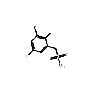 [CH2]S(=O)(=O)Cc1cc(F)cc(F)c1F